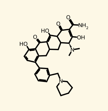 CN(C)[C@@H]1C(O)=C(C(N)=O)C(=O)C2C(O)=C3C(=O)c4c(O)ccc(-c5cccc(CN6CCCCC6)c5)c4CC3CC21